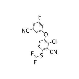 N#Cc1cc(F)cc(Oc2ccc(SC(F)F)c(C#N)c2Cl)c1